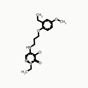 CCc1cc(OC)ccc1OCCCNc1cnn(CC)c(=O)c1Cl